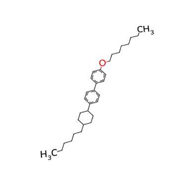 CCCCCCCCOc1ccc(-c2ccc(C3CCC(CCCCCC)CC3)cc2)cc1